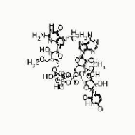 CC[n+]1cn([C@@H]2O[C@H](COP(=O)(O)OP(=O)(O)OP(=O)(O)OCC3O[C@@H](n4cnc5c(N)ncnc54)[C@H](OC)[C@@H]3P(=O)([O-])OC[C@H]3O[C@@H](n4ccc(=O)[nH]c4=O)[C@H](O)[C@@H]3O)[C@@H](COC)[C@H]2O)c2nc(N)[nH]c(=O)c21